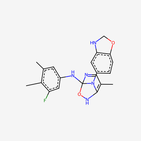 CC1=C2NOC(Nc3cc(C)c(C)c(F)c3)(N=C1)N2c1ccc2c(c1)NCO2